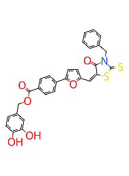 O=C(OCc1ccc(O)c(O)c1)c1ccc(-c2ccc(/C=C3/SC(=S)N(Cc4ccccc4)C3=O)o2)cc1